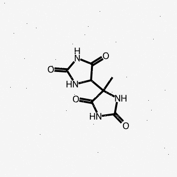 CC1(C2NC(=O)NC2=O)NC(=O)NC1=O